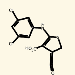 O=C=C1CSC(Nc2cc(Cl)cc(Cl)c2)=C1C(=O)O